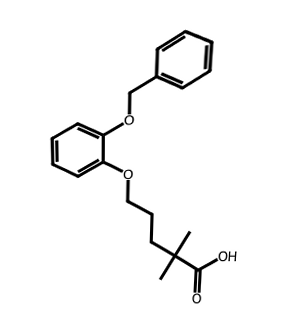 CC(C)(CCCOc1ccccc1OCc1ccccc1)C(=O)O